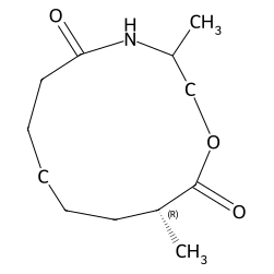 CC1COC(=O)[C@H](C)CCCCCC(=O)N1